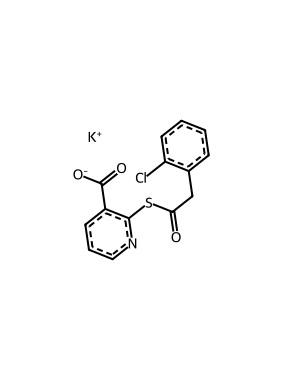 O=C(Cc1ccccc1Cl)Sc1ncccc1C(=O)[O-].[K+]